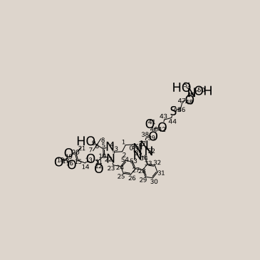 CCCc1nc(C(C)(C)O)c(C(=O)OCc2oc(=O)oc2C)n1Cc1ccc(-c2ccccc2-c2nnn(COC(=O)OCCSCCON(O)O)n2)cc1